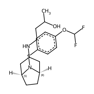 CC(O)CCNC1C[C@H]2CC[C@@H](C1)N2Sc1ccc(OC(F)F)cc1